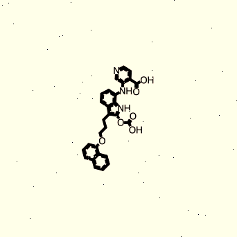 O=C(O)Oc1[nH]c2c(Nc3cnccc3C(=O)O)cccc2c1CCCOc1cccc2ccccc12